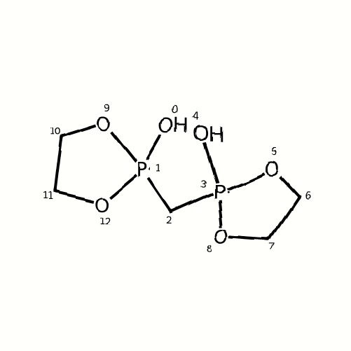 O[P]1(C[P]2(O)OCCO2)OCCO1